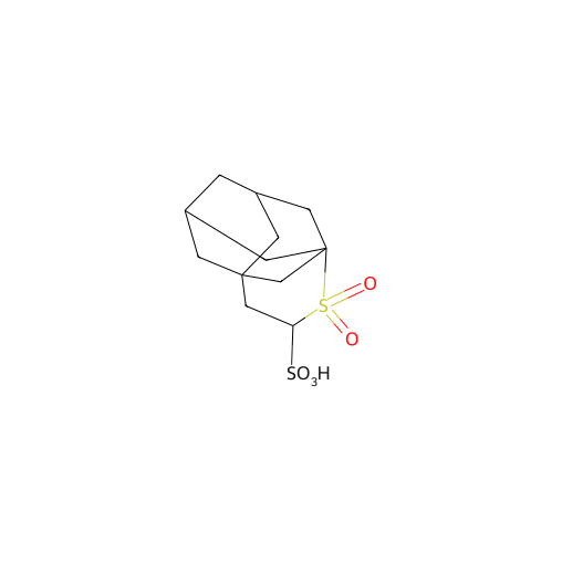 O=S(=O)(O)C1CC23CC4CC(C2)CC(C4)(C3)S1(=O)=O